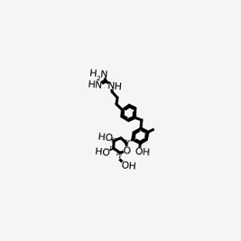 Cc1cc(O)c([C@H]2C[C@@H](O)[C@H](O)[C@@H](CO)O2)cc1Cc1ccc(CCCNC(=N)N)cc1